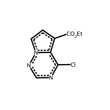 CCOC(=O)c1ccn2ncnc(Cl)c12